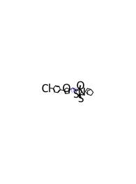 O=C1/C(=C/c2ccc(-c3ccc(Cl)cc3)o2)SC(=S)N1C1CC2CCC1C2